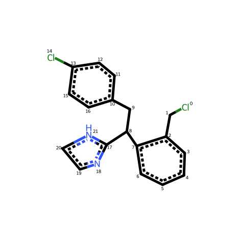 ClCc1ccccc1C(Cc1ccc(Cl)cc1)c1ncc[nH]1